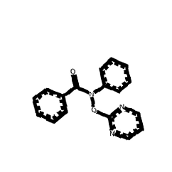 O=C(c1ccccc1)N(Oc1ncccn1)c1[c]cccc1